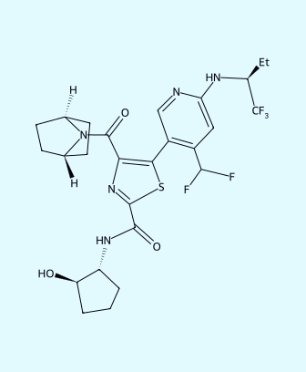 CC[C@H](Nc1cc(C(F)F)c(-c2sc(C(=O)N[C@@H]3CCC[C@H]3O)nc2C(=O)N2[C@H]3CC[C@H]2CC3)cn1)C(F)(F)F